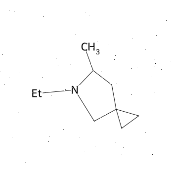 CCN1CC2(CC2)CC1C